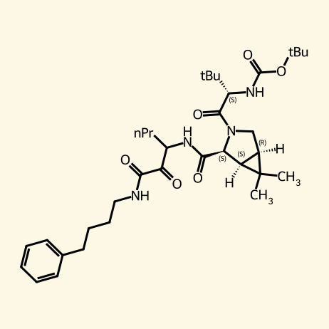 CCCC(NC(=O)[C@@H]1[C@H]2[C@@H](CN1C(=O)[C@@H](NC(=O)OC(C)(C)C)C(C)(C)C)C2(C)C)C(=O)C(=O)NCCCCc1ccccc1